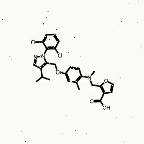 Cc1cc(OCc2c(C(C)C)cnn2-c2c(Cl)cccc2Cl)ccc1N(C)Cc1occc1C(=O)O